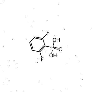 O=P(O)(O)c1c(F)cccc1F